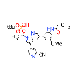 C=CC(=O)Nc1cc(OC)cc(-c2cnc3c(c2)c(-c2ccnc(C#N)c2)cn3C(C)OP(=O)(O)OC(C)(C)C)c1